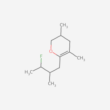 CC1=C(CC(C)C(C)F)OCC(C)C1